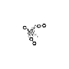 CCC[C@@](CCc1ccccc1)(CC(=O)OCOc1ccc(-c2ccccc2)cc1)OCOc1ccc(-c2ccccc2)cc1